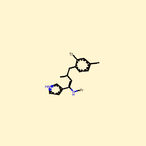 CCc1cc(C)ccc1CC(C)/C=C(/NC(C)C)c1cc[nH]c1